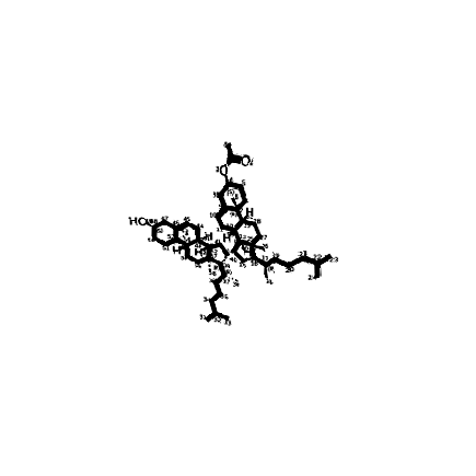 CC(=O)O[C@H]1CC[C@@]2(C)C(=CC[C@H]3[C@@H]4CC[C@H]([C@H](C)CCCC(C)C)[C@@]4(C)CC[C@@H]32)C1.CC(C)CCC[C@@H](C)[C@H]1CC[C@H]2[C@@H]3CC=C4C[C@@H](O)CC[C@]4(C)[C@H]3CC[C@]12C